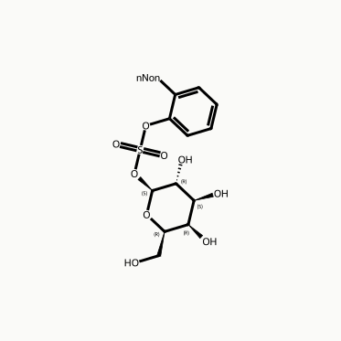 CCCCCCCCCc1ccccc1OS(=O)(=O)O[C@@H]1O[C@H](CO)[C@H](O)[C@H](O)[C@H]1O